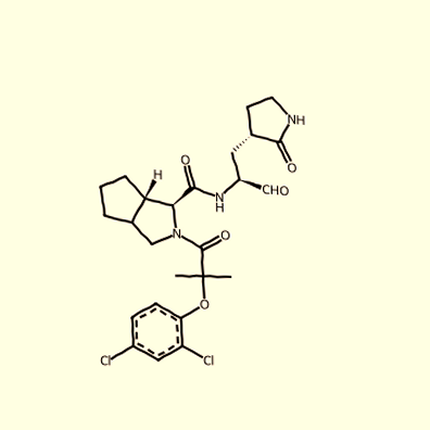 CC(C)(Oc1ccc(Cl)cc1Cl)C(=O)N1CC2CCC[C@@H]2[C@H]1C(=O)N[C@H](C=O)C[C@@H]1CCNC1=O